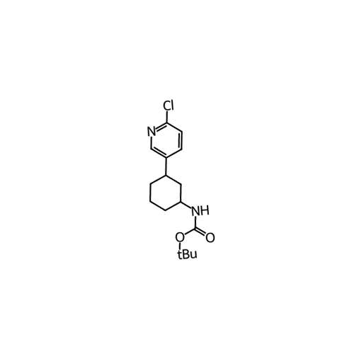 CC(C)(C)OC(=O)NC1CCCC(c2ccc(Cl)nc2)C1